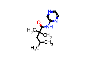 CC(C)CC(C)(C)C(=O)Nc1cnccn1